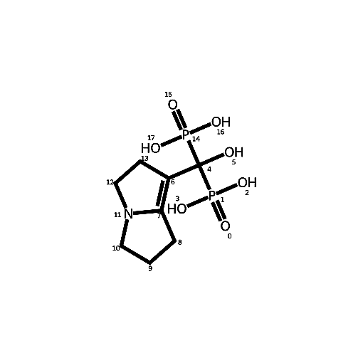 O=P(O)(O)C(O)(C1=C2CCCN2CC1)P(=O)(O)O